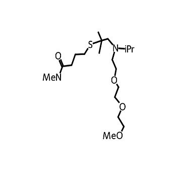 CNC(=O)CCCSC(C)(C)CN(CCOCCOCCOC)C(C)C